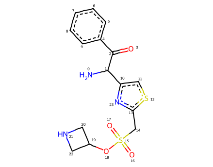 NC(C(=O)c1ccccc1)c1csc(CS(=O)(=O)OC2CNC2)n1